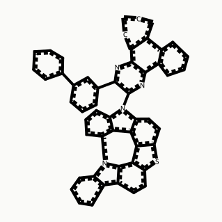 c1ccc(-c2cccc(-c3nc4c5ccccc5c5ccccc5c4nc3-n3c4ccc5sc6ccc7c8ccccc8n8c9cccc3c9c4c5c6c78)c2)cc1